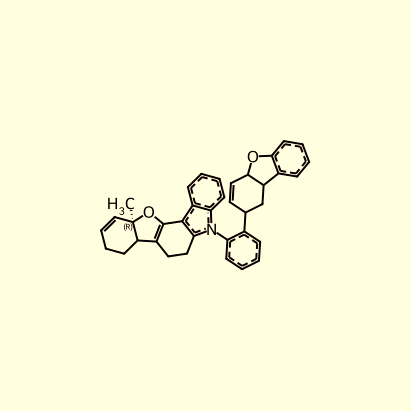 C[C@@]12C=CCCC1C1=C(O2)c2c(n(-c3ccccc3C3C=CC4Oc5ccccc5C4C3)c3ccccc23)CC1